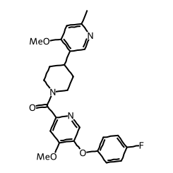 COc1cc(C(=O)N2CCC(c3cnc(C)cc3OC)CC2)ncc1Oc1ccc(F)cc1